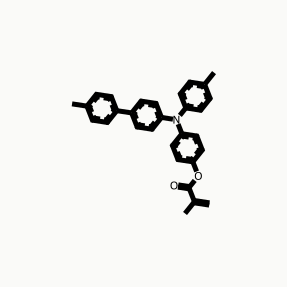 C=C(C)C(=O)Oc1ccc(N(c2ccc(C)cc2)c2ccc(-c3ccc(C)cc3)cc2)cc1